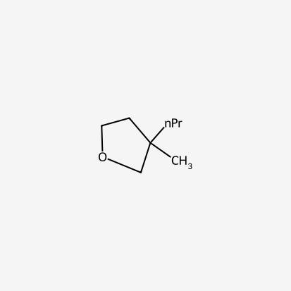 CCCC1(C)CCOC1